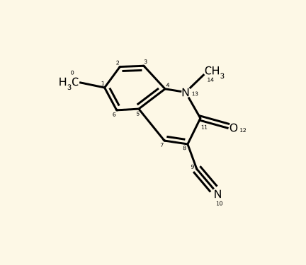 Cc1ccc2c(c1)cc(C#N)c(=O)n2C